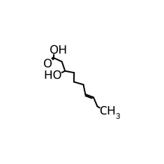 CCC=CCCCC(O)CC(=O)O